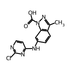 Cc1nn(C(=O)O)c2cc(Nc3ccnc(Cl)n3)ccc12